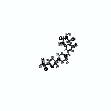 CCn1c(=O)[nH]c2cc(CN3CCN(c4ccc(C(=O)NC)nc4C)CC3C)cc(F)c2c1=O